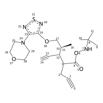 C#CCC(C(=O)ONC(C)(C)C)C(C#C)[C@H](C)COc1nsnc1N1CCOCC1